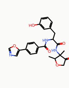 CC1OCC(=O)C1(C)NC(=O)C(Cc1cccc(O)c1)NC(=O)c1ccc(-c2cnco2)cc1